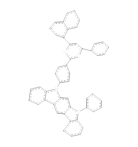 c1ccc(-c2cc(-c3cccc4ccccc34)nc(-c3ccc(-n4c5ccccc5c5cc6c7ccccc7n(-c7ccccc7)c6cc54)cc3)n2)cc1